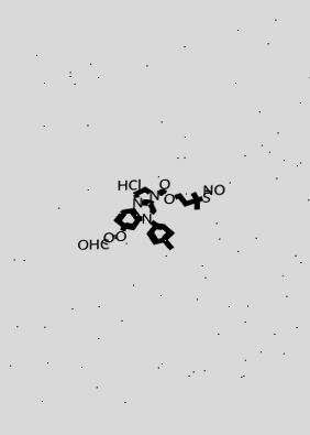 Cc1ccc(N(CC2=NCCN2C(=O)OCCC(C)(C)SN=O)c2cccc(OOC=O)c2)cc1.Cl